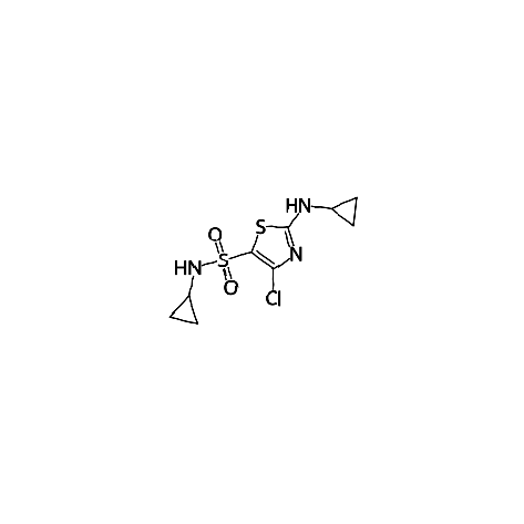 O=S(=O)(NC1CC1)c1sc(NC2CC2)nc1Cl